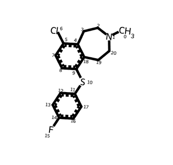 CN1CCc2c(Cl)ccc(Sc3ccc(F)cc3)c2CC1